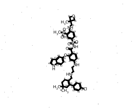 CC1(C)CCC(CNCCNc2ccc(C(=O)NS(=O)(=O)c3ccc(NCC4(C)COC4)c([N+](C)([O-])O)c3)c(Oc3ccc4[nH]ccc4c3)c2)=C(c2ccc(Cl)cc2)C1